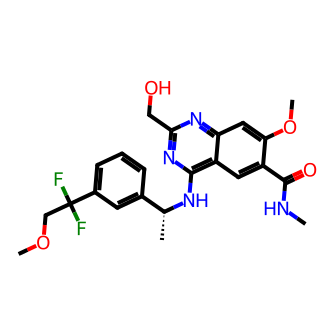 CNC(=O)c1cc2c(N[C@H](C)c3cccc(C(F)(F)COC)c3)nc(CO)nc2cc1OC